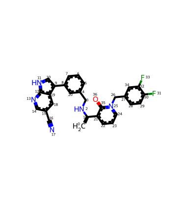 C=C(NCc1cccc(-c2c[nH]c3ncc(C#N)cc23)c1)c1cccn(Cc2ccc(F)c(F)c2)c1=O